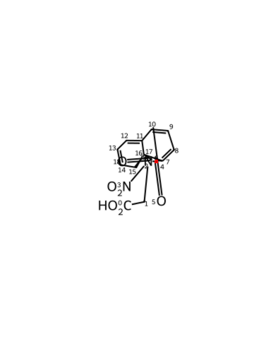 O=C(O)C[N+]1([N+](=O)[O-])C(=O)CC2=CC=CC3=CC=CC[C@@]32C1=O